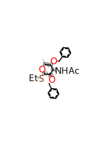 CCS[C@@H]1O[C@H](C)[C@@H](OCc2ccccc2)[C@H](NC(C)=O)[C@H]1OCc1ccccc1